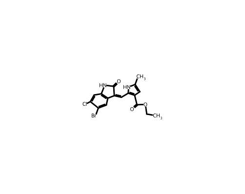 CCOC(=O)c1cc(C)[nH]c1/C=C1\C(=O)Nc2cc(Cl)c(Br)cc21